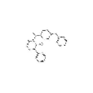 CC(C1CCN(Cc2ccccc2)CC1)n1nccc(-c2ccccc2)c1=O